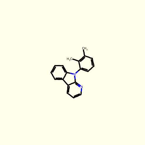 Cc1cccc(-n2c3ccccc3c3cccnc32)c1C